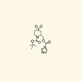 CC(C)(C)OC(=O)N1CCS(=O)(=O)CC1COC(=O)n1ccnc1